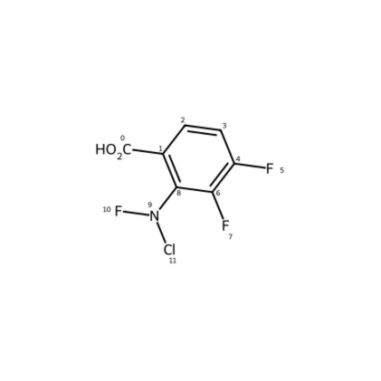 O=C(O)c1ccc(F)c(F)c1N(F)Cl